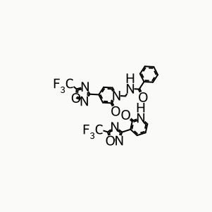 O=C(NCn1ccc(-c2noc(C(F)(F)F)n2)cc1=O)c1ccccc1.O=c1[nH]cccc1-c1noc(C(F)(F)F)n1